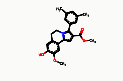 COC(=O)c1cc2n(c1-c1cc(C)cc(C)c1)CCc1cc(O)c(OC)cc1-2